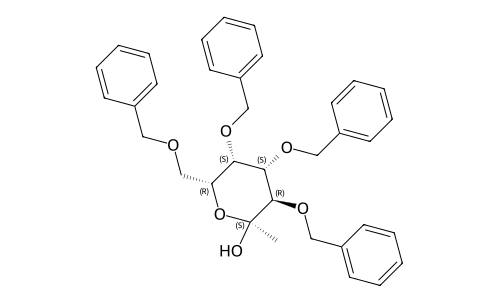 C[C@]1(O)O[C@H](COCc2ccccc2)[C@H](OCc2ccccc2)[C@H](OCc2ccccc2)[C@H]1OCc1ccccc1